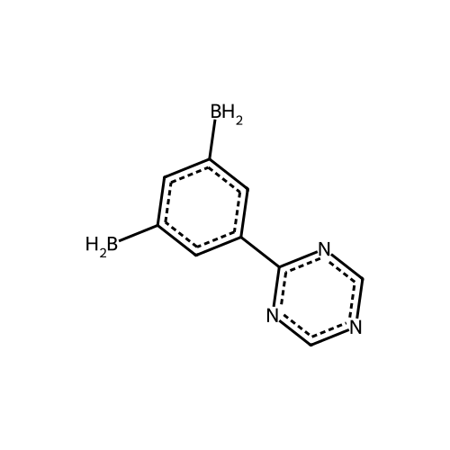 Bc1cc(B)cc(-c2ncncn2)c1